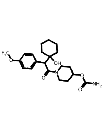 NC(=O)OC1CCN(C(=O)C(c2ccc(OC(F)(F)F)cc2)C2(O)CCCCC2)CC1